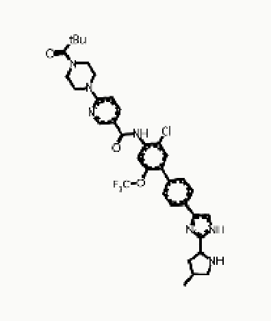 CC1CNC(c2nc(-c3ccc(-c4cc(Cl)c(NC(=O)c5ccc(N6CCN(C(=O)C(C)(C)C)CC6)nc5)cc4OC(F)(F)F)cc3)c[nH]2)C1